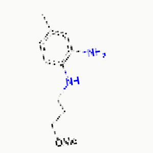 COCCCNc1ccc(C)cc1N